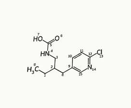 CCC(CNC(=O)O)Cc1ccc(Cl)nc1